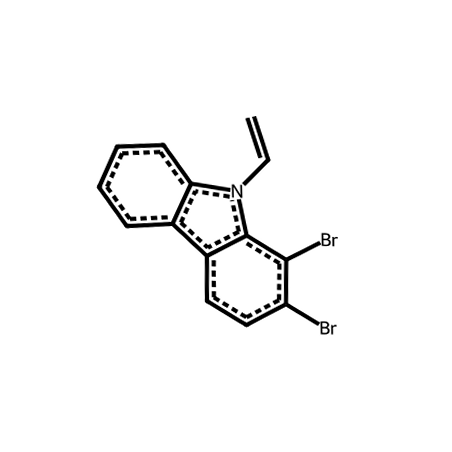 C=Cn1c2ccccc2c2ccc(Br)c(Br)c21